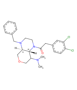 CN(C)C1COC[C@@H]2[C@@H]1N(C(=O)Cc1ccc(Cl)c(Cl)c1)CCN2Cc1ccccc1